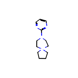 [OH-].c1cnc(N2CC[N+]3(CCCC3)CC2)nc1